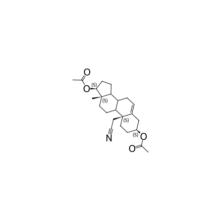 CC(=O)O[C@H]1CC[C@@]2(CC#N)C(=CCC3C2CC[C@@]2(C)C3CC[C@@H]2OC(C)=O)C1